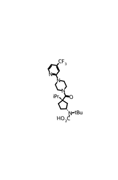 CC(C)[C@]1(C(=O)N2CCN(c3cc(C(F)(F)F)ccn3)CC2)CC[C@@H](N(C(=O)O)C(C)(C)C)C1